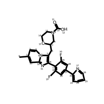 Cc1ccn2c(CC3CN(C(=O)O)CCO3)c(-c3c(F)cc(-c4ccccn4)cc3F)nc2c1